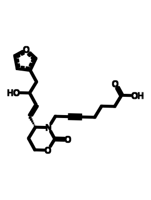 O=C(O)CCCC#CCN1C(=O)OCC[C@@H]1/C=C/C(O)Cc1ccoc1